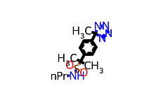 CCCNS(=O)(=O)C(C)(C)c1ccc(C2(C)N=NN=N2)cc1